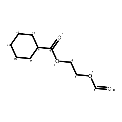 O=COCCOC(=O)C1CCCCC1